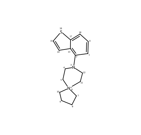 c1cc(N2CC[N+]3(CCCC3)CC2)c2ccsc2c1